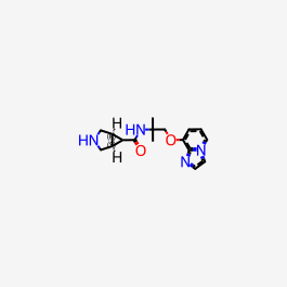 CC(C)(COc1cccn2ccnc12)NC(=O)C1[C@H]2CNC[C@@H]12